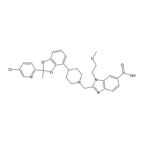 COCCn1c(CN2CCC(c3cccc4c3OC(C)(c3ccc(Cl)cn3)O4)CC2)nc2ccc(C(=O)O)cc21